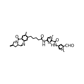 C=C1CC2C=Nc3cc(CCCCC(=O)Nc4cn(C)c(C(=O)Nc5cc(C=O)n(C)c5)n4)c(C)cc3C(=O)N2C1